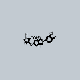 CCOC(=O)c1[nH]nnc1S[C@H]1C[C@@H]2CN(c3ccc(Cl)c(Cl)c3)C[C@@H]2C1